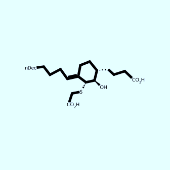 CCCCCCCCCCCCC/C=C1\CC[C@H](CCCC(=O)O)[C@@H](O)[C@@H]1SCC(=O)O